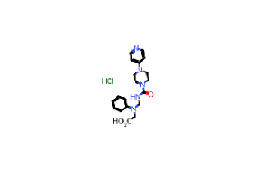 Cl.O=C(O)CN(CNC(=O)N1CCN(c2ccncc2)CC1)c1ccccc1